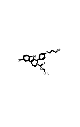 CCOC(=O)N1CCc2c([nH]c3ccc(Cl)cc23)C1c1ccc(OCCCO)cc1